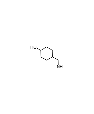 [NH]CC1CCC(O)CC1